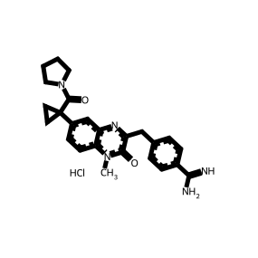 Cl.Cn1c(=O)c(Cc2ccc(C(=N)N)cc2)nc2cc(C3(C(=O)N4CCCC4)CC3)ccc21